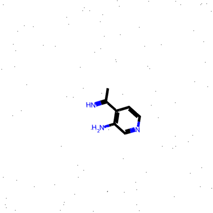 CC(=N)c1ccncc1N